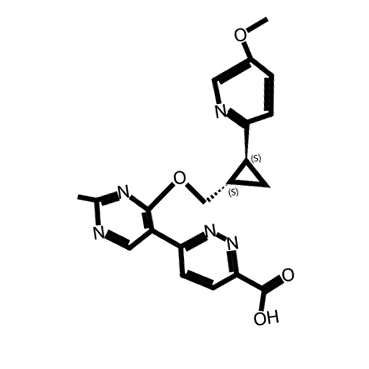 COc1ccc([C@H]2C[C@@H]2COc2nc(C)ncc2-c2ccc(C(=O)O)nn2)nc1